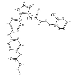 CCOC(=O)Cc1ccc(Cc2ccc(-c3onc(C)c3NC(=O)OCCc3ccccc3Cl)cc2)cc1